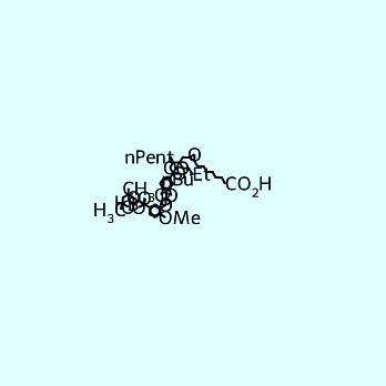 CCCCCC(OC(=O)c1ccc2c(c1)OB(Oc1cc(C(=O)OB3OC(C)CC(C)(I)O3)ccc1OC)O2)C(CC1OC1CCCCCCCC(=O)O)OCC(CC)CCCC